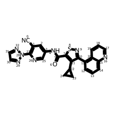 N#Cc1cc(NC(=O)c2snc(-c3cccc4ncccc34)c2C2CC2)cnc1-n1nccn1